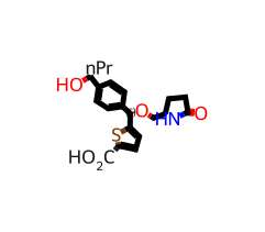 CCCC(O)c1ccc([C@H](OCC2CCC(=O)N2)c2ccc(C(=O)O)s2)cc1